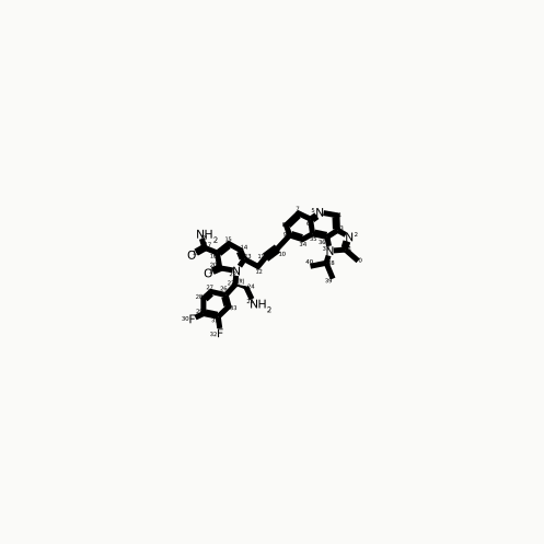 Cc1nc2cnc3ccc(C#CCc4ccc(C(N)=O)c(=O)n4[C@@H](CN)c4ccc(F)c(F)c4)cc3c2n1C(C)C